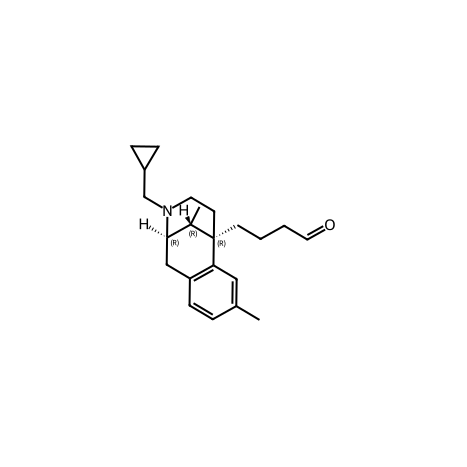 Cc1ccc2c(c1)[C@]1(CCCC=O)CCN(CC3CC3)[C@H](C2)[C@@H]1C